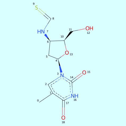 Cc1cn([C@H]2C[C@@H](NC=S)[C@@H](CO)O2)c(=O)[nH]c1=O